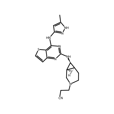 Cc1cc(Nc2nc(N[C@@H]3[C@@H]4CN(CCC#N)CC[C@@H]43)nc3ccsc23)n[nH]1